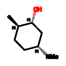 CN[C@@H]1CC[C@@H](C)[C@H](O)C1